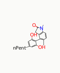 CCCCCc1cc(O)c(-c2c(C)ccc3c2CC(=O)N3C)c(O)c1